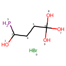 Br.OC(P)CCC(O)(O)O